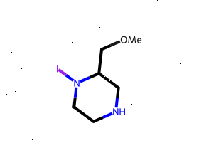 COCC1CNCCN1I